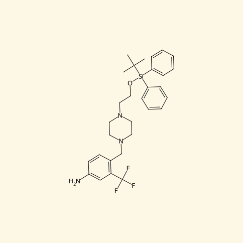 CC(C)(C)[Si](OCCN1CCN(Cc2ccc(N)cc2C(F)(F)F)CC1)(c1ccccc1)c1ccccc1